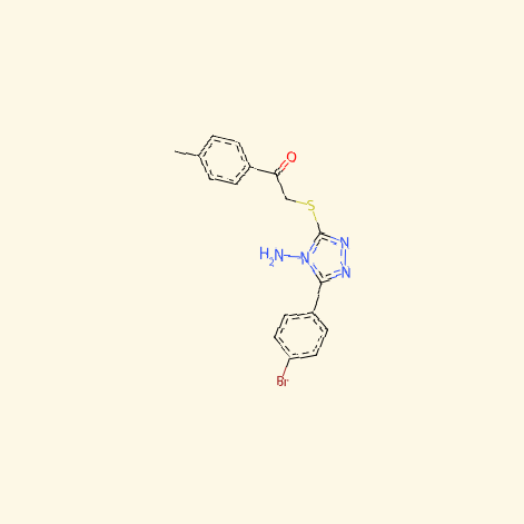 Cc1ccc(C(=O)CSc2nnc(-c3ccc(Br)cc3)n2N)cc1